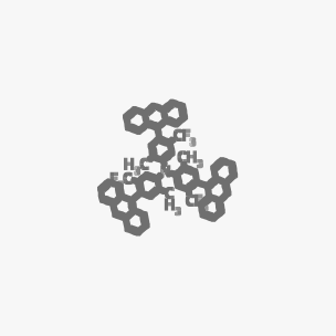 Cc1cc(-c2c3ccccc3cc3ccccc23)c(C(F)(F)F)cc1N(c1cc(C(F)(F)F)c(-c2c3ccccc3cc3ccccc23)cc1C)c1cc(C(F)(F)F)c(-c2c3ccccc3cc3ccccc23)cc1C